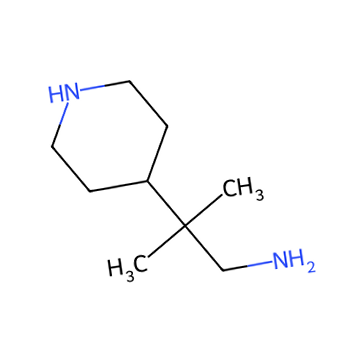 CC(C)(CN)C1CCNCC1